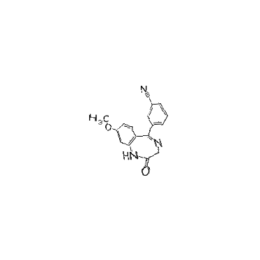 COc1ccc2c(c1)NC(=O)CN=C2c1cccc(C#N)c1